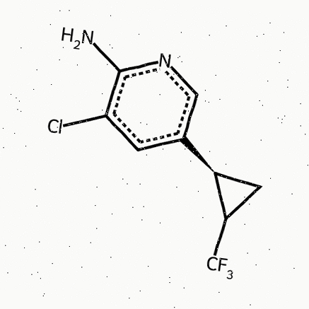 Nc1ncc([C@H]2CC2C(F)(F)F)cc1Cl